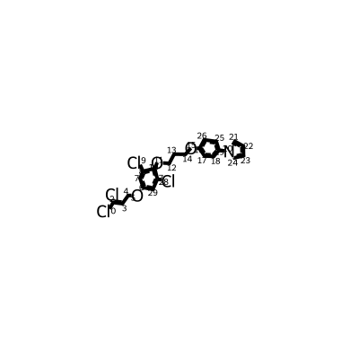 ClC(Cl)=CCOc1cc(Cl)c(OCCCOc2ccc(-n3cccc3)cc2)c(Cl)c1